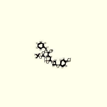 CC(C)(C)OC(=O)NC(CC(=O)N1CC(Oc2ccc(Cl)cc2)C1)C(=O)OCc1ccccc1